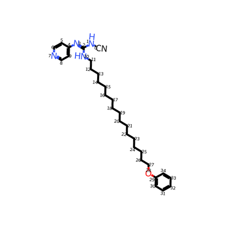 N#CNC(=Nc1ccncc1)NCCCCCCCCCCCCCCCCCOc1ccccc1